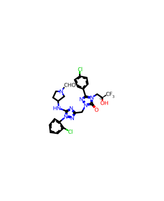 O=CN1CCC(Nc2nc(Cn3nc(-c4ccc(Cl)cc4)n(C[C@H](O)C(F)(F)F)c3=O)nn2-c2ccccc2Cl)C1